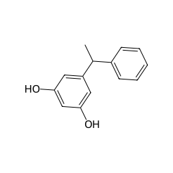 CC(c1ccccc1)c1cc(O)cc(O)c1